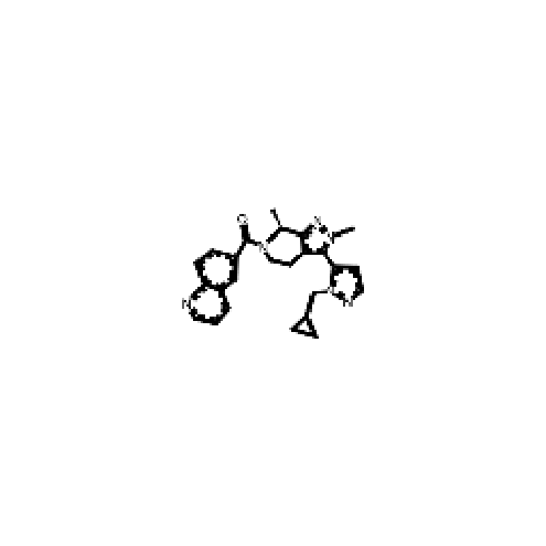 C[C@H]1c2nn(C)c(-c3ccnn3CC3CC3)c2CCN1C(=O)c1ccc2ncccc2c1